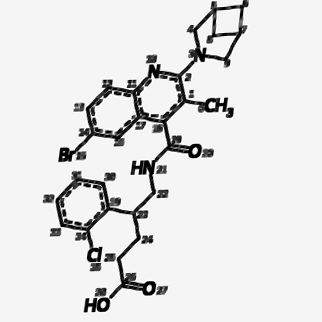 Cc1c(N2CC3CC(C3)C2)nc2ccc(Br)cc2c1C(=O)NCC(CCC(=O)O)c1ccccc1Cl